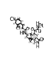 CCNC(=O)C(=O)C(C[C@@H]1CCNC1=O)NC[C@H](CC1CC1)NC(=O)/C=C/c1ccc(Cl)cc1Cl